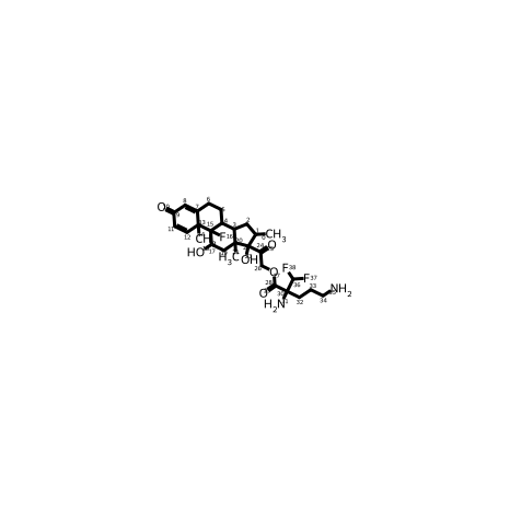 CC1CC2C3CCC4=CC(=O)C=CC4(C)C3(F)C(O)CC2(C)C1(O)C(=O)COC(=O)C(N)(CCCN)C(F)F